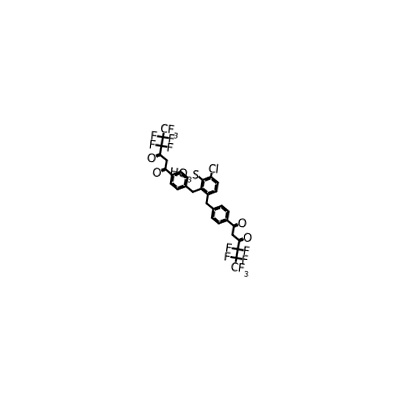 O=C(CC(=O)C(F)(F)C(F)(F)C(F)(F)F)c1ccc(Cc2ccc(Cl)c(S(=O)(=O)O)c2Cc2ccc(C(=O)CC(=O)C(F)(F)C(F)(F)C(F)(F)F)cc2)cc1